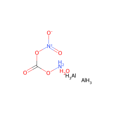 NOC(=O)O[N+](=O)[O-].O.[AlH3].[AlH3]